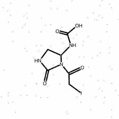 O=C(O)NC1CNC(=O)N1C(=O)CI